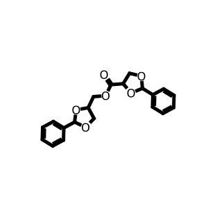 O=C(OCC1COC(c2ccccc2)O1)C1COC(c2ccccc2)O1